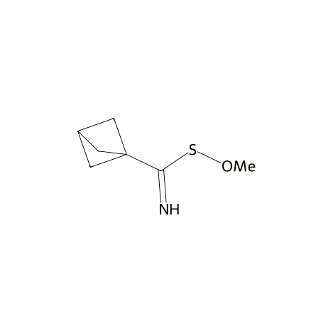 COSC(=N)C12CC(C1)C2